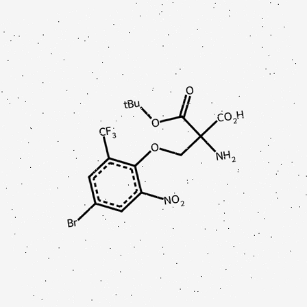 CC(C)(C)OC(=O)C(N)(COc1c([N+](=O)[O-])cc(Br)cc1C(F)(F)F)C(=O)O